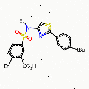 CCc1ccc(S(=O)(=O)N(CC)c2csc(-c3ccc(C(C)(C)C)cc3)n2)cc1C(=O)O